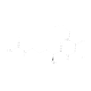 CC(C)[C@H](NC(=O)[C@@H](N)CCCNC(N)=O)C(=O)NCC(=O)O